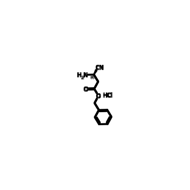 Cl.N#C[C@H](N)CC(=O)OCc1ccccc1